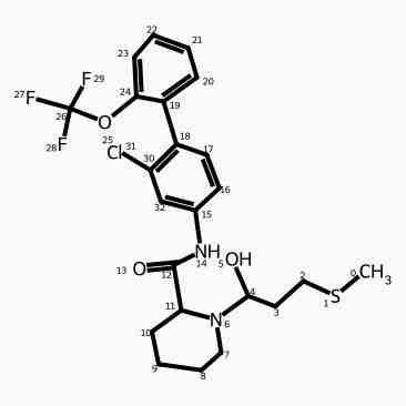 CSCCC(O)N1CCCCC1C(=O)Nc1ccc(-c2ccccc2OC(F)(F)F)c(Cl)c1